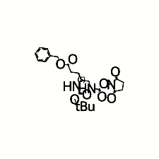 CC(C)(C)OC(=O)N[C@@H](CCC(=O)OCc1ccccc1)CNC(=O)ON1C(=O)CCC1=O